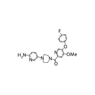 COc1cc(C(=O)N2CCN(c3ccc(N)nc3)CC2)ncc1Oc1ccc(F)cc1